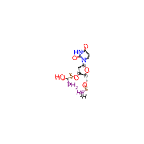 [3H]PSOC[C@H]1O[C@@H](n2ccc(=O)[nH]c2=O)C[C@@H]1OSC(O)P